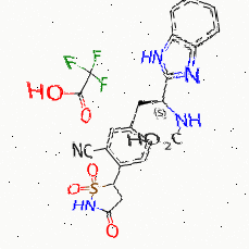 N#Cc1cc(C[C@H](NC(=O)O)c2nc3ccccc3[nH]2)ccc1C1CC(=O)NS1(=O)=O.O=C(O)C(F)(F)F